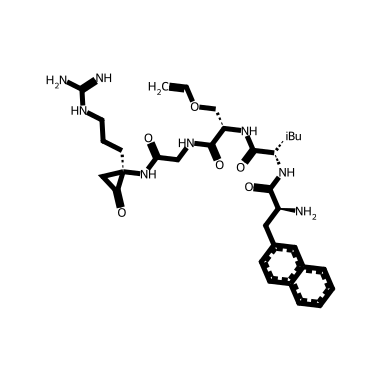 C=COC[C@H](NC(=O)[C@@H](NC(=O)[C@@H](N)Cc1ccc2ccccc2c1)[C@@H](C)CC)C(=O)NCC(=O)N[C@]1(CCCNC(=N)N)CC1=O